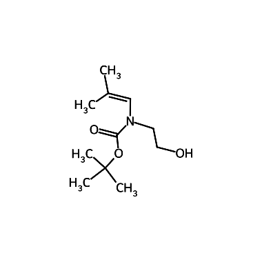 CC(C)=CN(CCO)C(=O)OC(C)(C)C